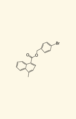 Cc1ccc(C(=O)OCc2ccc(Br)cc2)c2ccccc12